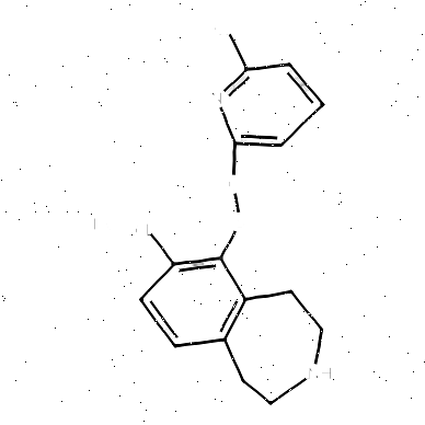 Cl.Clc1cccc(CSc2c(Cl)ccc3c2CCNCC3)n1